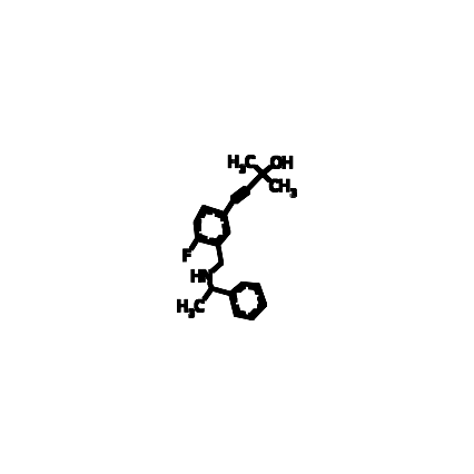 CC(NCc1cc(C#CC(C)(C)O)ccc1F)c1ccccc1